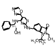 CCn1c(=O)c2ccc(Nc3ncc(-c4nnco4)c(N[C@H](CO)c4ccccc4)n3)cc2n1C(C)C